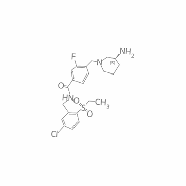 CCS(=O)(=O)c1ccc(Cl)cc1CNC(=O)c1ccc(CN2CCC[C@H](N)C2)c(F)c1